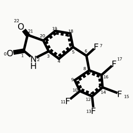 O=C1Nc2cc(C(F)c3cc(F)c(F)c(F)c3F)ccc2C1=O